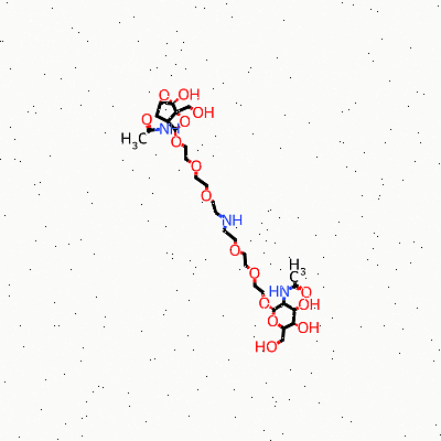 CC(=O)NC1C(O)[C@@H](O)C(CO)O[C@H]1OCCOCCOCCNCCOCCOCCO[C@@H]1OC2(CO)C1(NC(C)=O)CC1O[C@@]12O